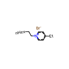 CCCCCCCC[n+]1ccc(CC)cc1.[Br-]